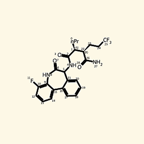 CCC[C@H](C(=O)NC1C(=O)Nc2c(F)cccc2-c2ccccc21)[C@@H](CCC(F)(F)F)C(N)=O